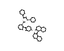 c1ccc(-c2nc(-c3cccc4sc5cc(-n6c7ccc8ccccc8c7c7c8ccccc8ccc76)ccc5c34)nc3c2oc2ccccc23)cc1